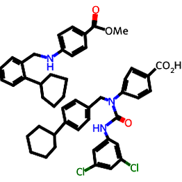 COC(=O)c1ccc(NCc2ccccc2C2CCCCC2)cc1.O=C(O)c1ccc(N(Cc2ccc(C3CCCCC3)cc2)C(=O)Nc2cc(Cl)cc(Cl)c2)cc1